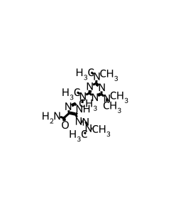 CN(C)/N=N/c1[nH]cnc1C(N)=O.CN(C)c1nc(N(C)C)nc(N(C)C)n1